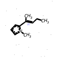 CC/C=C(\C)c1cccn1C